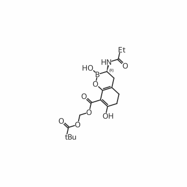 CCC(=O)N[C@H]1CC2=C(OB1O)C(C(=O)OCOC(=O)C(C)(C)C)=C(O)CC2